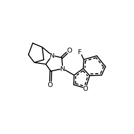 O=C1C2C3CCC(C3)N2C(=O)N1c1coc2cccc(F)c12